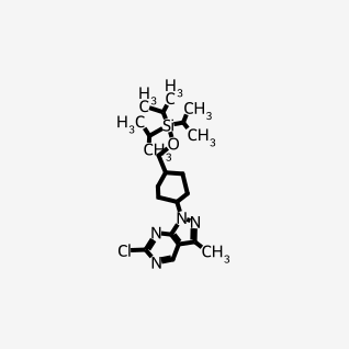 Cc1nn(C2CCC(CO[Si](C(C)C)(C(C)C)C(C)C)CC2)c2nc(Cl)ncc12